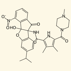 Cc1c(C(=O)NC23C(=O)c4cccc([N+](=O)[O-])c4C2(O)Oc2cc(C(C)C)ccc23)[nH]c(C(=O)N2CCN(C)CC2)c1C